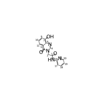 O=C(Cn1cnc2c(O)cccc2c1=O)Nc1ccccn1